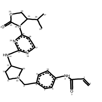 C=CC(=O)Nc1ccc(CN2CCC(Nc3nccc(N4C(=O)OCC4C(C)C)n3)C2)cc1